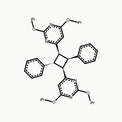 CC(C)Oc1cc([C@H]2[C@H](c3ccccc3)[C@@H](c3cc(OC(C)C)nc(OC(C)C)n3)[C@H]2c2ccccc2)nc(OC(C)C)n1